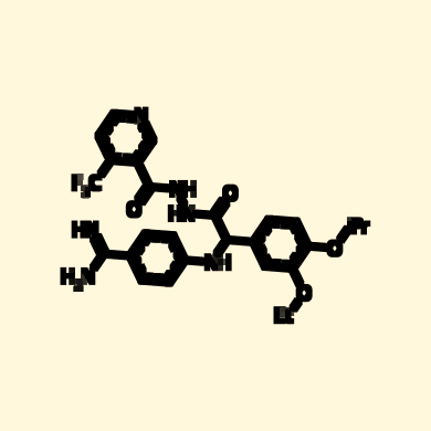 CCOc1cc(C(Nc2ccc(C(=N)N)cc2)C(=O)NNC(=O)c2cnccc2C(F)(F)F)ccc1OC(C)C